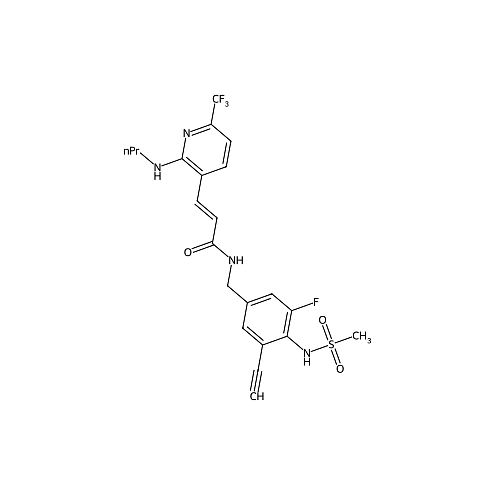 C#Cc1cc(CNC(=O)/C=C/c2ccc(C(F)(F)F)nc2NCCC)cc(F)c1NS(C)(=O)=O